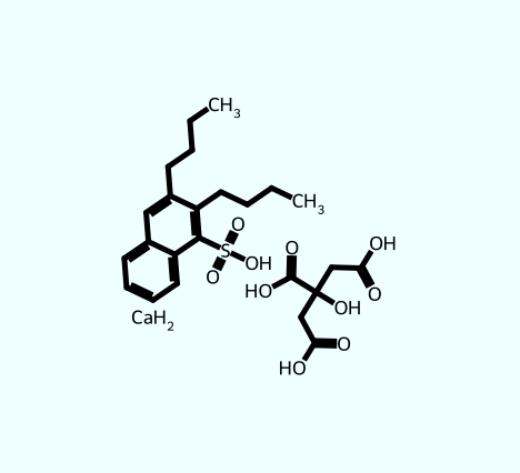 CCCCc1cc2ccccc2c(S(=O)(=O)O)c1CCCC.O=C(O)CC(O)(CC(=O)O)C(=O)O.[CaH2]